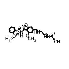 C#CC(=O)NCCCNCc1cc(OC)c2c(NS(=O)(=O)c3ccccc3OC)noc2c1